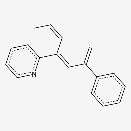 C=C(/C=C(\C=C/C)c1ccccn1)c1ccccc1